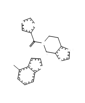 O=C(c1cnco1)N1CCc2[nH]cnc2[C@@H]1c1cc2c(F)cccc2o1